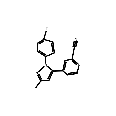 Cc1cc(-c2ccnc(C#N)c2)n(-c2ccc(F)cc2)n1